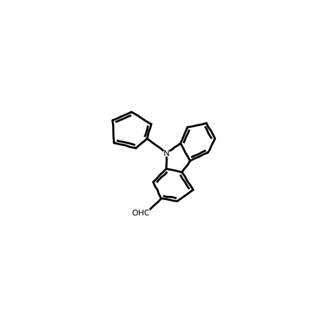 O=Cc1ccc2c3ccccc3n(-c3ccccc3)c2c1